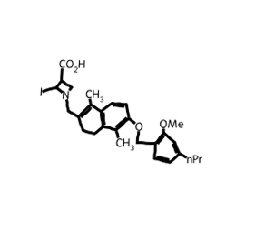 CCCc1ccc(COc2ccc3c(c2C)CCC(CN2CC(C(=O)O)C2I)=C3C)c(OC)c1